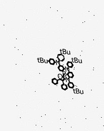 CC(C)(C)C1=CC=C(N(c2ccc(C(C)(C)C)cc2)c2ccc3c(c2)N(c2ccc(C(C)(C)C)cc2)c2cccc4c2B3c2oc(-c3ccccc3)c(-c3ccccc3)c2N4c2ccc(C(C)(C)C)cc2)C=CC1